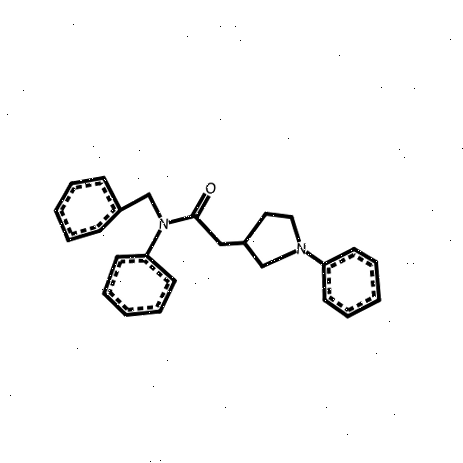 O=C(CC1CCN(c2ccccc2)C1)N(Cc1ccccc1)c1ccccc1